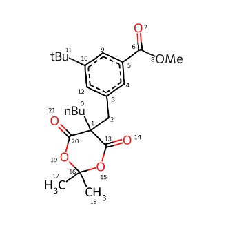 CCCCC1(Cc2cc(C(=O)OC)cc(C(C)(C)C)c2)C(=O)OC(C)(C)OC1=O